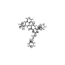 CS(=O)(=O)Nc1cc(-c2c(Cl)cc3c(N4CC5CCC(C4)N5)nc(OCCCN4C5CCC4COC5)nc3c2F)c2ccccc2c1